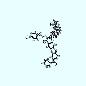 O=C(/C(CCSc1ccc(Cl)cc1)=N/OS(=O)(=O)C(F)(F)C(F)(F)C(F)(F)C(F)(F)F)c1ccc(Sc2ccc(C(=O)c3ccccc3)cc2)cc1